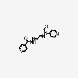 O=CN(N=CC=NNC(=O)c1ccncc1)c1ccncc1